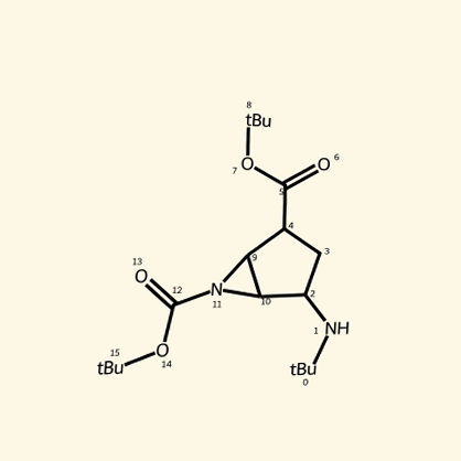 CC(C)(C)NC1CC(C(=O)OC(C)(C)C)C2C1N2C(=O)OC(C)(C)C